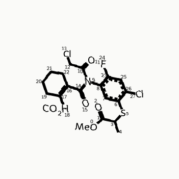 COC(=O)C(C)Sc1cc(N(C(=O)CCl)C(=O)C2=C(C(=O)O)CCCC2)c(F)cc1Cl